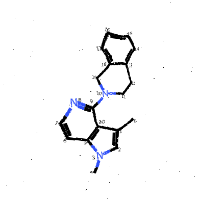 Cc1cn(C)c2ccnc(N3CCc4ccccc4C3)c12